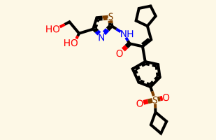 O=C(Nc1nc(C(O)CO)cs1)C(=CC1CCCC1)c1ccc(S(=O)(=O)C2CCC2)cc1